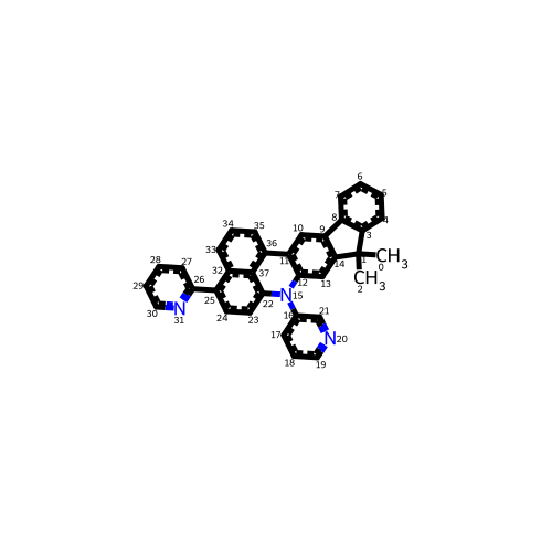 CC1(C)c2ccccc2-c2cc3c(cc21)N(c1cccnc1)c1ccc(-c2ccccn2)c2cccc-3c12